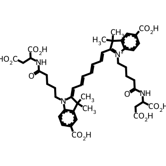 CC1(C)C(/C=C/C=C/C=C/C=C2/N(CCCCC(=O)NC(CC(=O)O)C(=O)O)c3ccc(C(=O)O)cc3C2(C)C)=[N+](CCCCC(=O)NC(CC(=O)O)C(=O)O)c2ccc(C(=O)O)cc21